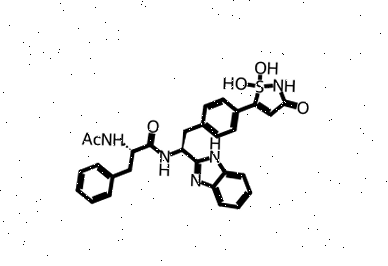 CC(=O)N[C@@H](Cc1ccccc1)C(=O)N[C@@H](Cc1ccc(C2=CC(=O)NS2(O)O)cc1)c1nc2ccccc2[nH]1